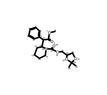 COC(=O)C(c1ccccc1)C1CCCCN1C(=O)OCC1COC(C)(C)O1